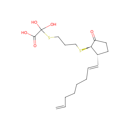 C=CCCCC/C=C/[C@H]1CCC(=O)[C@@H]1SCCCSC(O)(O)C(=O)O